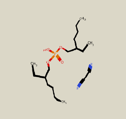 CCCCC(CC)COP(=O)(O)OCC(CC)CCCC.N#CC#N